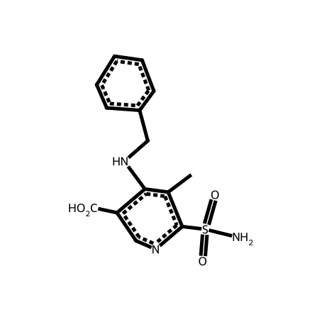 Cc1c(S(N)(=O)=O)ncc(C(=O)O)c1NCc1ccccc1